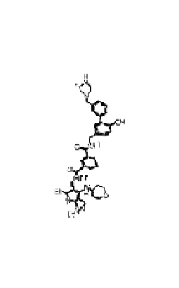 CCc1nc2c(cnn2CC)c(NC2CCOCC2)c1CNC(=O)c1cccc(C(=O)NCc2ccc(C#N)c(-c3cccc(CN4CCN[C@@H](C)C4)c3)c2)c1